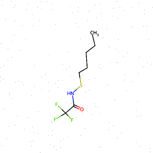 CCCCCSNC(=O)C(F)(F)F